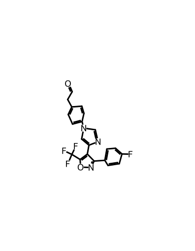 O=CCc1ccc(-n2cnc(-c3c(-c4ccc(F)cc4)noc3C(F)(F)F)c2)cc1